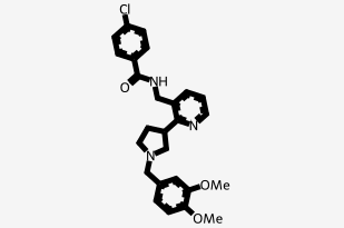 COc1ccc(CN2CCC(c3ncccc3CNC(=O)c3ccc(Cl)cc3)C2)cc1OC